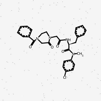 CN(C(=O)[C@H](Cc1ccccc1)NC(=O)CN1CCN(C(=O)c2ccccc2)CC1=O)c1ccc(Cl)cc1